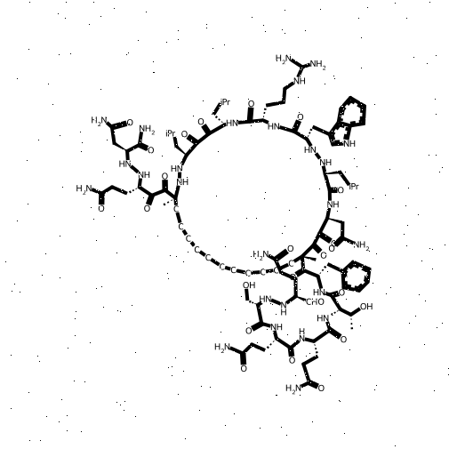 CC(C)C[C@@H]1NN[C@@H](Cc2c[nH]c3ccccc23)C(=O)N[C@@H](CCCNC(N)N)C(=O)N[C@@H](CC(C)C)C(=O)C(=O)[C@H](CC(C)C)NN[C@](C)(C(=O)C(=O)[C@H](CCC(N)=O)NN[C@@H](CC(N)=O)C(N)=O)CCCCCCCCCCC[C@@](C)(C(=O)[C@H](Cc2ccccc2)NC(=O)[C@@H](NC(=O)[C@H](CCC(N)=O)NC(=O)[C@H](CCC(N)=O)NC(=O)[C@H](CO)NN[C@H](C=O)CCC(N)=O)[C@@H](C)O)C(=O)C(=O)[C@H](CC(N)=O)NC1=O